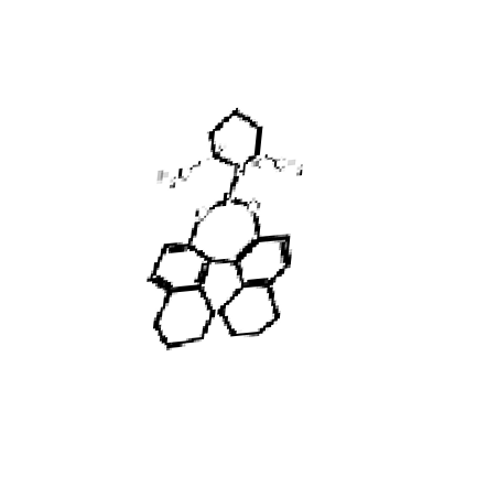 C[C@@H]1CCC[C@H](C)N1p1oc2ccc3c(c2c2c4c(ccc2o1)CCCC4)CCCC3